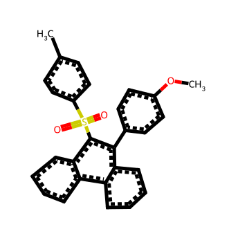 COc1ccc(-c2c(S(=O)(=O)c3ccc(C)cc3)c3ccccc3c3ccccc23)cc1